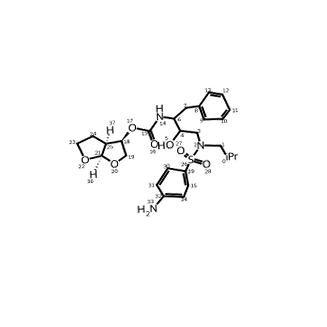 CC(C)CN(CC(O)C(Cc1ccccc1)NC(=O)O[C@H]1CO[C@H]2OCC[C@H]21)S(=O)(=O)c1ccc(N)cc1